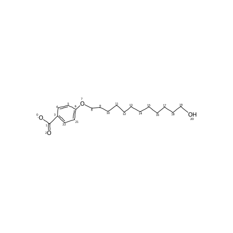 [O]C(=O)c1ccc(OCCCCCCCCCCCCO)cc1